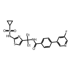 CCC(CC)(NC(=O)c1ccc(-c2cncc(F)c2)cc1)c1csc(NS(=O)(=O)C2CC2)n1